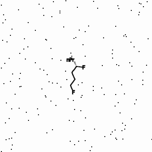 [CH2]CC[C@H](F)CCCF